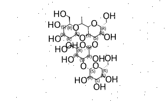 CC(C)C1O[C@H](CO)[C@@H](O)[C@H](O[C@@H]2O[C@H](CO)[C@@H](O)[C@H](O[C@@H]3O[C@H](CO)[C@@H](O)[C@H](O)[C@H]3O)[C@H]2O)[C@H]1O[C@@H]1O[C@H](CO)[C@@H](O)[C@H](O)[C@H]1O